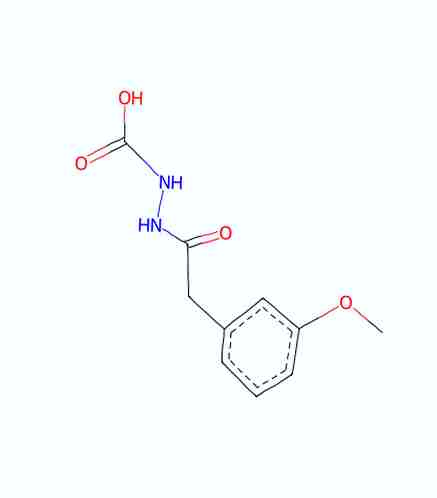 COc1cccc(CC(=O)NNC(=O)O)c1